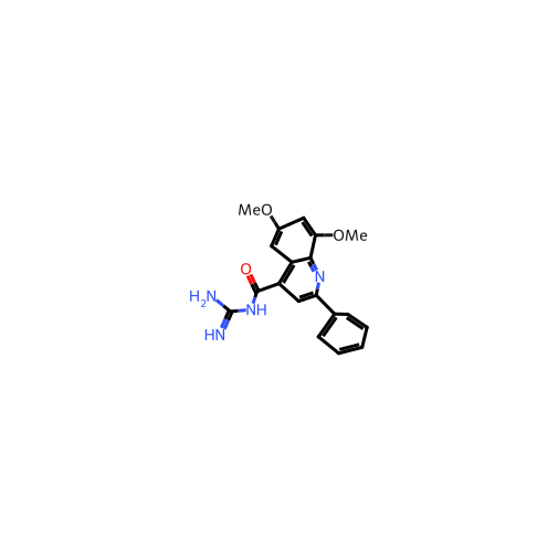 COc1cc(OC)c2nc(-c3ccccc3)cc(C(=O)NC(=N)N)c2c1